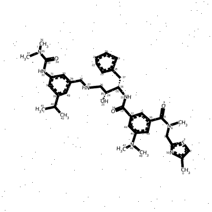 Cc1csc(CN(C)C(=O)c2cc(C(=O)N[C@@H](Cc3ccccc3)[C@H](O)CNCc3cc(NC(=O)N(C)C)cc(C(C)C)c3)cc(N(C)C)c2)n1